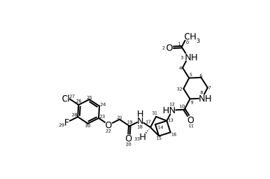 CC(=O)NCC1CCNC(C(=O)NC23CC(C2)[C@@H](NC(=O)COc2ccc(Cl)c(F)c2)C3)C1